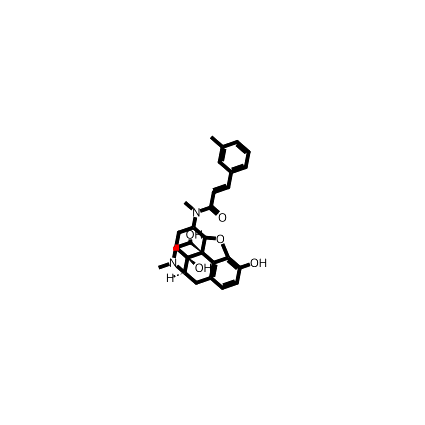 Cc1cccc(/C=C/C(=O)N(C)C2CC[C@@]3(O)[C@H]4Cc5ccc(O)c6c5[C@@]3(C(O)CN4C)C2O6)c1